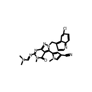 CN(C)/C=N/c1nc2nn(Cc3ccnc4ccc(Cl)cc34)c(-c3cc(C#N)cn3C)c2c(=O)n1C